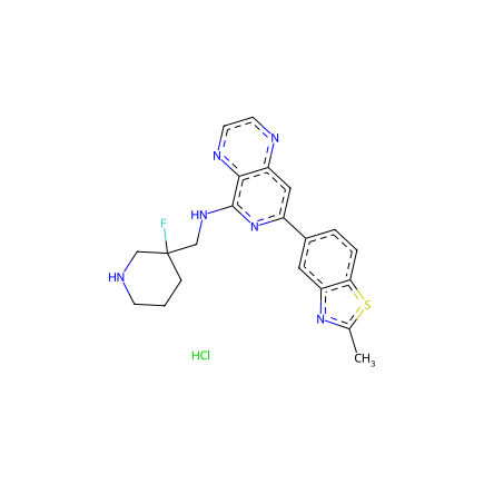 Cc1nc2cc(-c3cc4nccnc4c(NCC4(F)CCCNC4)n3)ccc2s1.Cl